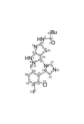 CCC(C)C(=O)Nc1nc2[nH]nc(-n3cncc3-c3c(F)ccc(F)c3Cl)c2s1